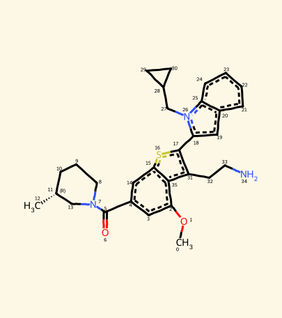 COc1cc(C(=O)N2CCC[C@@H](C)C2)cc2sc(-c3cc4ccccc4n3CC3CC3)c(CCN)c12